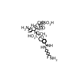 CC(O/N=C(\C(=O)N[C@@H]1C(=O)N(OS(=O)(=O)O)C1(C)C)c1csc(N)n1)(C(=O)O)[C@H]1CCc2cc(C(=N)NC3CC4(C3)CC(F)(CN)C4)ccc2O1